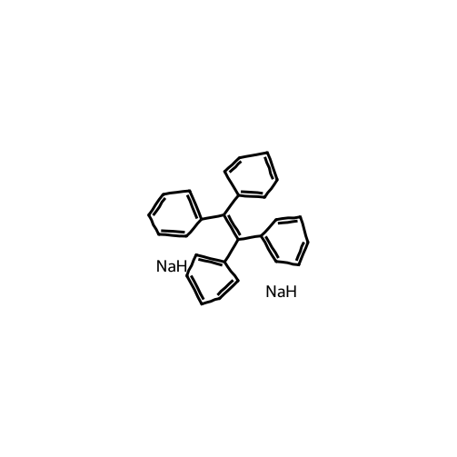 [NaH].[NaH].c1ccc(C(=C(c2ccccc2)c2ccccc2)c2ccccc2)cc1